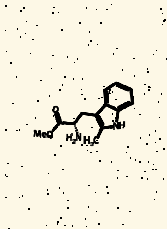 COC(=O)[C@@H](N)Cc1c(C)[nH]c2ccccc12